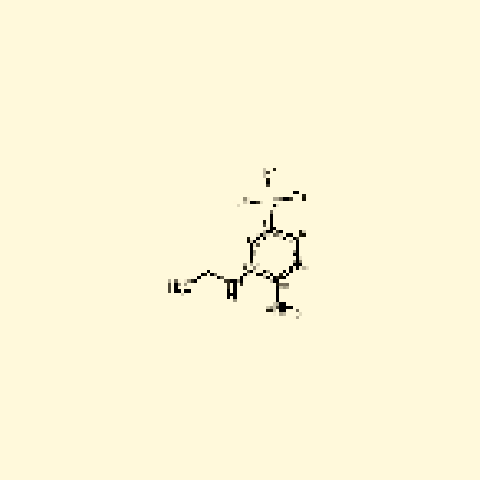 CCNc1cc(C(F)(F)F)ccc1N